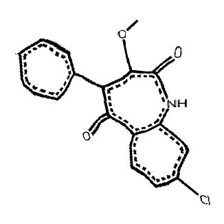 COc1c(-c2cc[c]cc2)c(=O)c2ccc(Cl)cc2[nH]c1=O